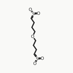 O=S(=O)=CCCCOCCCC=S(=O)=O